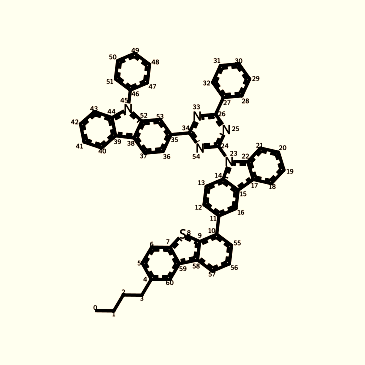 CCCCc1ccc2sc3c(-c4ccc5c(c4)c4ccccc4n5-c4nc(-c5ccccc5)nc(-c5ccc6c7ccccc7n(-c7ccccc7)c6c5)n4)cccc3c2c1